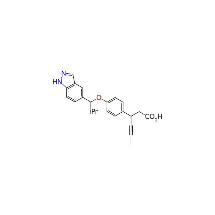 CC#CC(CC(=O)O)c1ccc(OC(c2ccc3[nH]ncc3c2)C(C)C)cc1